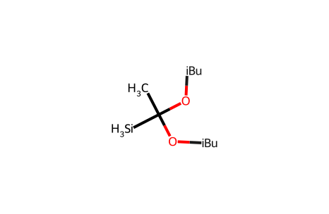 CCC(C)OC(C)([SiH3])OC(C)CC